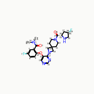 CCN(C(=O)c1cc(F)ccc1Oc1cncnc1N1CC2(CCN(C(=O)[C@@H]3C[C@@H](F)CN3)CC2)C1)C(C)C